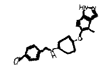 Cc1c(O[C@H]2CC[C@H](NCc3ccc(Cl)cc3)CC2)ccc2[nH]ncc12